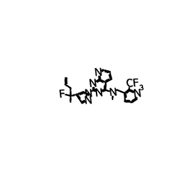 C=CCC(C)(F)c1cnn(-c2nc(N(C)Cc3cccnc3C(F)(F)F)c3cccnc3n2)c1